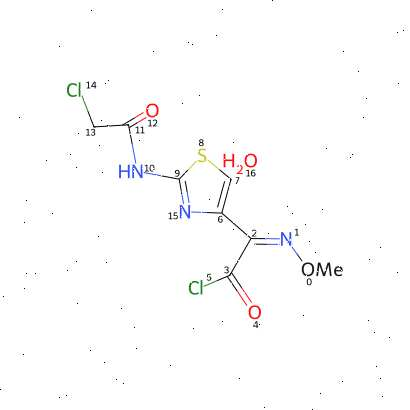 CON=C(C(=O)Cl)c1csc(NC(=O)CCl)n1.O